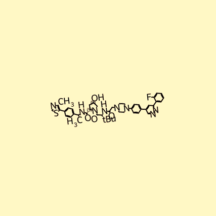 Cc1ncsc1-c1ccc(C(C)NC(=O)[C@@H]2C[C@@H](O)CN2C(=O)C(NC(=O)CN2CCN(c3ccc(-c4cnnc(-c5ccccc5F)c4)cc3)CC2)C(C)(C)C)cc1